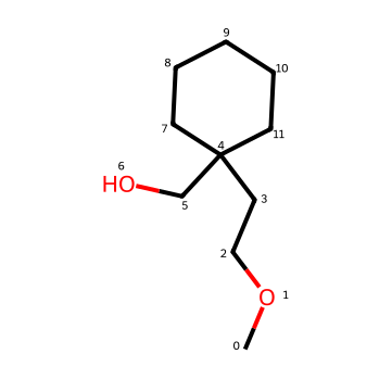 COCCC1(CO)CCCCC1